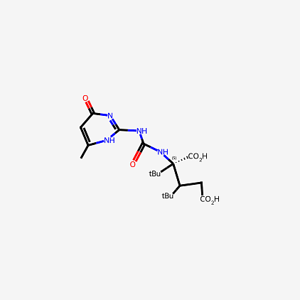 Cc1cc(=O)nc(NC(=O)N[C@@](C(=O)O)(C(CC(=O)O)C(C)(C)C)C(C)(C)C)[nH]1